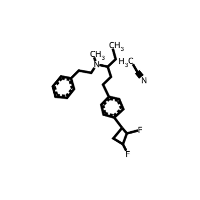 CC#N.CCC(CCc1ccc(C2CC(F)C2F)cc1)N(C)CCc1ccccc1